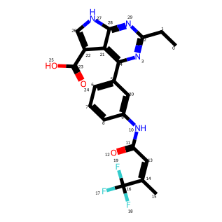 CCc1nc(-c2cccc(NC(=O)/C=C(/C)C(F)(F)F)c2)c2c(C(=O)O)c[nH]c2n1